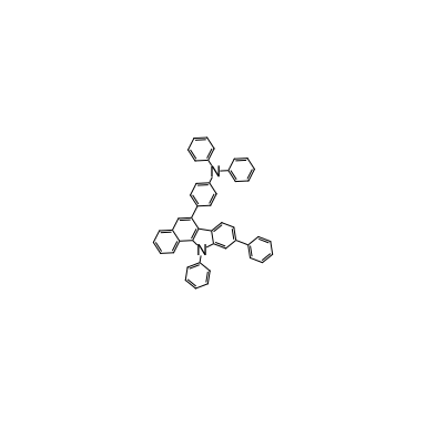 c1ccc(-c2ccc3c4c(-c5ccc(N(c6ccccc6)c6ccccc6)cc5)cc5ccccc5c4n(-c4ccccc4)c3c2)cc1